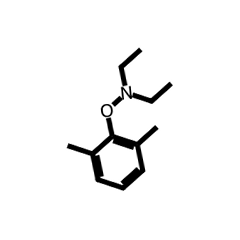 CCN(CC)Oc1c(C)cccc1C